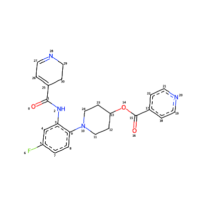 O=C(Nc1cc(F)ccc1N1CCC(OC(=O)c2ccncc2)CC1)C1=CC=NCC1